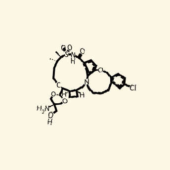 C[C@@H]1[C@@H](C)CCC[C@@H]([C@H]2OC[C@@](N)(CO)CO2)[C@@H]2CC[C@H]2CN2CCCCc3cc(Cl)ccc3COc3ccc(cc32)C(=O)NS1(=O)=O